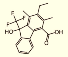 CCc1c(C)c(C(=O)O)c2c(c1C)C(O)(C(F)(F)F)c1ccccc1-2